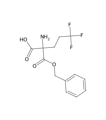 NC(CCC(F)(F)F)(C(=O)O)C(=O)OCc1ccccc1